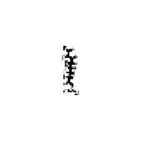 FC(F)C(F)C(F)C(F)(F)C(F)(F)C(F)(F)C(F)(F)C(F)C[SiH](Cl)Cl